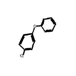 Clc1ccc(Oc2[c]cccc2)cc1